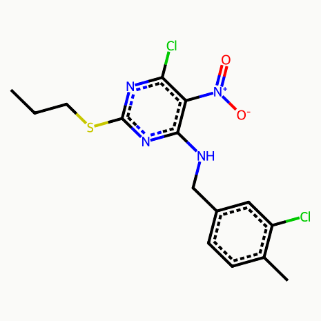 CCCSc1nc(Cl)c([N+](=O)[O-])c(NCc2ccc(C)c(Cl)c2)n1